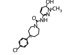 CN1N=C(NC(=O)N2CCC[C@@H](c3ccc(Cl)cc3)CC2)C=CC1O